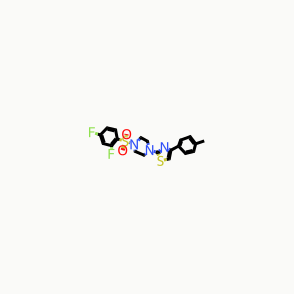 Cc1ccc(-c2csc(N3CCN(S(=O)(=O)c4ccc(F)cc4F)CC3)n2)cc1